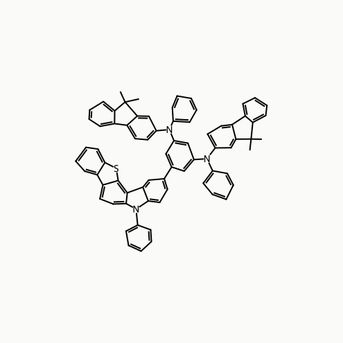 CC1(C)c2ccccc2-c2ccc(N(c3ccccc3)c3cc(-c4ccc5c(c4)c4c6sc7ccccc7c6ccc4n5-c4ccccc4)cc(N(c4ccccc4)c4ccc5c(c4)C(C)(C)c4ccccc4-5)c3)cc21